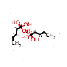 CCCCC(O)(O)OOC(O)(O)CCCC